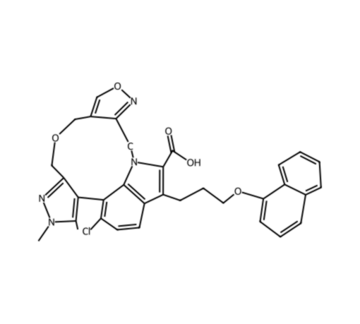 Cc1c2c(nn1C)COCc1conc1Cn1c(C(=O)O)c(CCCOc3cccc4ccccc34)c3ccc(Cl)c-2c31